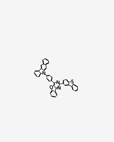 c1ccc2cc3c(cc2c1)c1ccccc1n3-c1ccc(-c2nc(-c3ccc4sc5ccccc5c4c3)nc3c2oc2ccccc23)cc1